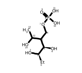 CC[C@@H](O)[C@H](O)C(COP(=O)(O)O)C(C)O